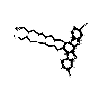 CCCCCCCCCCc1c(CCCCCCCCCC)c2c3ccc(Br)cc3sc2c2sc3cc(Br)ccc3c12